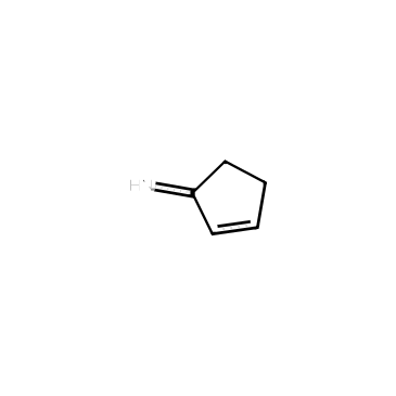 N=C1C=CCC1